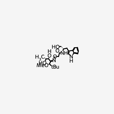 CO[C@H](/C(=N/OCC(=O)N[C@H](CO)Cc1c[nH]c2ccccc12)[C@@H](O)[C@@H](C)O)C(C)(C)C